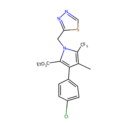 CCOC(=O)c1c(-c2ccc(Cl)cc2)c(C)c(C(F)(F)F)n1Cc1nncs1